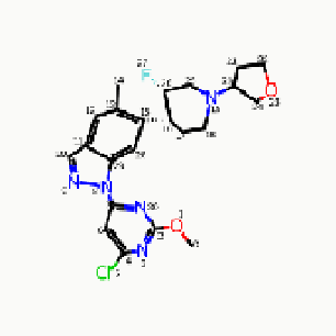 COc1nc(Cl)cc(-n2ncc3cc(C)c([C@H]4CCN(C5CCOC5)C[C@H]4F)cc32)n1